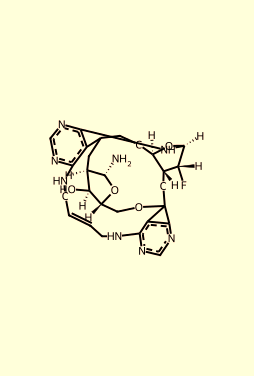 N[C@@H]1O[C@@H]2COC34C[C@H]5[C@@H](F)[C@@H]6Nc7ncnc(c7C(CC[C@H]5O6)C[C@@H]1[C@@H]2O)NC/C=C/CNc1ncnc3c14